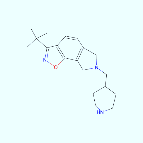 CC(C)(C)c1noc2c3c(ccc12)CN(CC1CCNCC1)C3